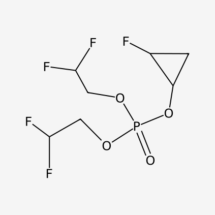 O=P(OCC(F)F)(OCC(F)F)OC1CC1F